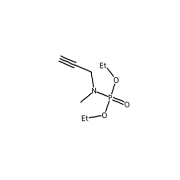 C#CCN(C)P(=O)(OCC)OCC